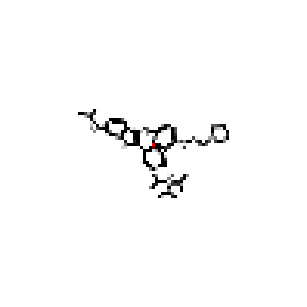 CC(C)Oc1ccc2c(Nc3ccc(OCCN4CCCC4)cc3)c(-c3ccc(O[Si](C(C)C)(C(C)C)C(C)C)cc3)sc2c1